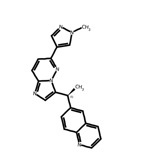 C[C@@H](c1ccc2ncccc2c1)c1cnc2ccc(-c3cnn(C)c3)nn12